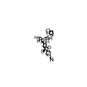 CN(C)CCN1CCC(N2C(=O)c3cc4nc(-c5c(NC[C@@H](O)COc6c(F)ccc(Cl)c6F)cc[nH]c5=O)[nH]c4cc3C2=O)CC1